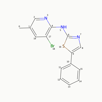 Cc1cnc(Nc2ncc(-c3ccccc3)s2)c(Br)c1